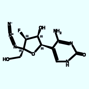 [N-]=[N+]=N[C@]1(CO)O[C@H](c2c[nH]c(=O)nc2N)[C@H](O)[C@@H]1F